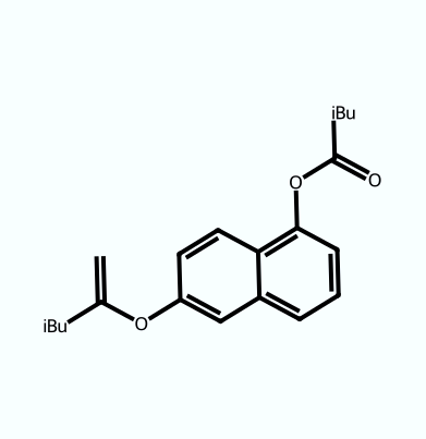 C=C(Oc1ccc2c(OC(=O)C(C)CC)cccc2c1)C(C)CC